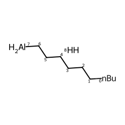 CCCCCCCCC[CH2][AlH2].[HH]